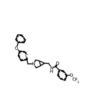 O=C(NCC1C2CN(Cc3ccc(Oc4ccccc4)cc3)CC12)c1cccc(OC(F)(F)F)c1